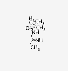 CCC(=N)CN[S+]([O-])C(C)(C)C